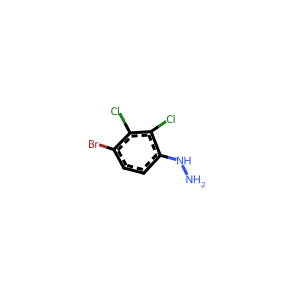 NNc1ccc(Br)c(Cl)c1Cl